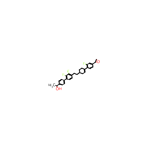 CC(O)c1ccc(-c2ccc(CCC3CC=C(c4ccc(C5CO5)cc4F)CC3)c(F)c2F)cc1